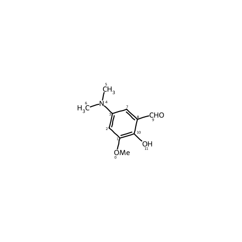 COc1cc(N(C)C)cc(C=O)c1O